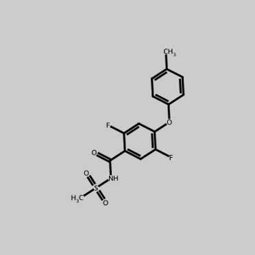 Cc1ccc(Oc2cc(F)c(C(=O)NS(C)(=O)=O)cc2F)cc1